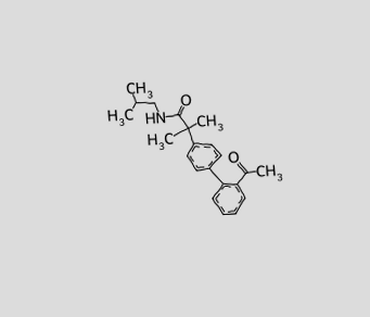 CC(=O)c1ccccc1-c1ccc(C(C)(C)C(=O)NCC(C)C)cc1